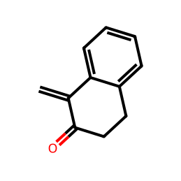 C=C1C(=O)CCc2ccccc21